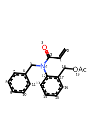 C=CC(=O)N(Cc1ccccc1)c1ccccc1COC(C)=O